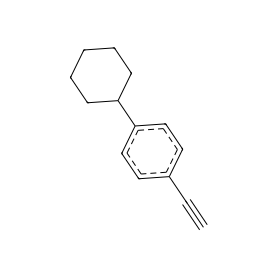 C#Cc1ccc(C2CCCCC2)cc1